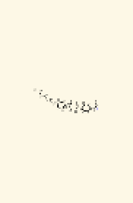 C/C=C\c1ccc([C@H]2CC[C@H](c3ccc(COCCCCC)cc3)CC2)cc1